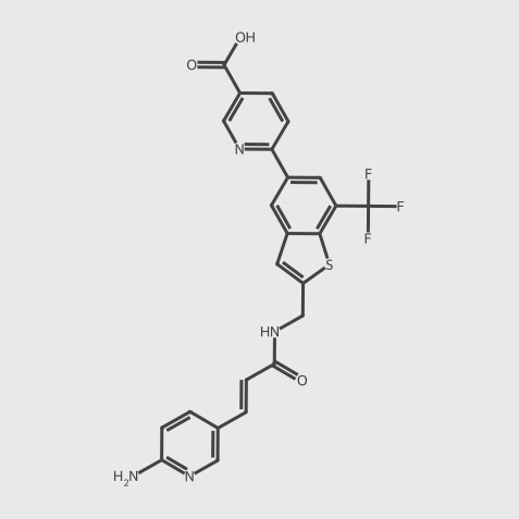 Nc1ccc(/C=C/C(=O)NCc2cc3cc(-c4ccc(C(=O)O)cn4)cc(C(F)(F)F)c3s2)cn1